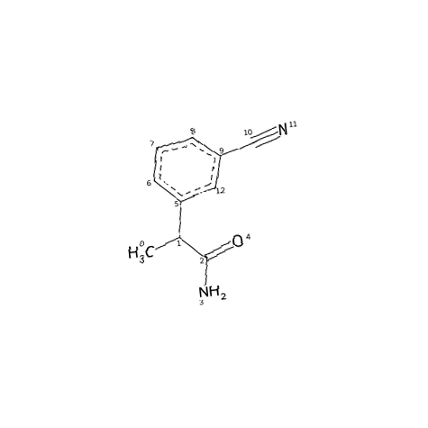 CC(C(N)=O)c1cccc(C#N)c1